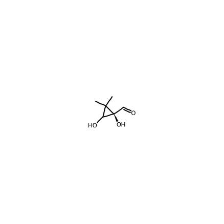 CC1(C)C(O)[C@@]1(O)C=O